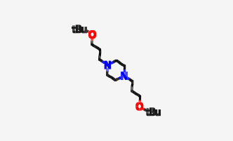 CC(C)(C)OCCCN1CCN(CCCOC(C)(C)C)CC1